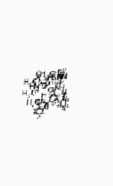 CCNC(=O)[C@@H](NC(=O)[C@H](C)NC[C@H](Cc1cscn1)NC(=O)c1cc(C(=O)N[C@H](C)c2ccccc2)cc(-c2ccccc2C#N)c1)C(C)C